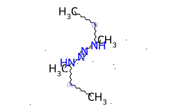 CCCCCCCC/C=C\CCCCCC(CC)NCCCN1CCN(CCCNC(CC)CCCCC/C=C\CCCCCCCC)CC1